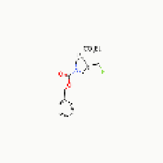 CCOC(=O)[C@H]1CN(C(=O)OCc2ccccc2)C[C@@H]1CF